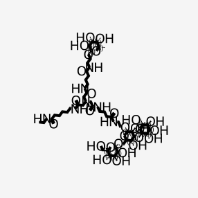 CCNC(=O)CCCCCNC(=O)CN(CC(=O)NCCCC(=O)NCCO[C@@H]1O[C@@H](C)[C@@H](O)[C@@H](O)[C@@H]1O)CC(=O)NCCCC(=O)NCCO[C@H]1OC(CO[C@H]2O[C@H](CO)[C@@H](O)[C@H](O)[C@@H]2O)[C@@H](O)[C@H](O[C@H]2O[C@H](CO)[C@@H](O)[C@H](O)[C@@H]2O)[C@@H]1O